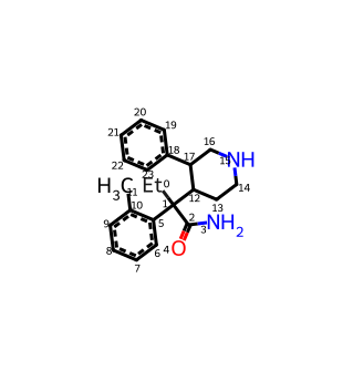 CCC(C(N)=O)(c1ccccc1C)C1CCNCC1c1ccccc1